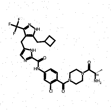 C[C@H](N)C(=O)N1CCN(C(=O)c2ccc(NC(=O)c3ncc(Cc4c(C(F)(F)F)n[nH]c4CC4CCC4)[nH]3)cc2Cl)CC1